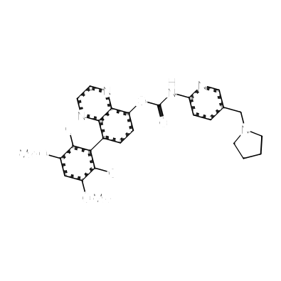 COc1cc(OC)c(Cl)c(-c2ccc(OC(=O)Nc3ccc(CN4CCCC4)cn3)c3nccnc23)c1Cl